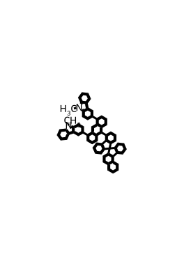 Cn1c2ccccc2c2cc(-c3cccc4c(-c5cccc6c5-c5ccccc5C65c6ccccc6-c6c5ccc5ccccc65)c5cccc(-c6ccc7c(c6)c6ccccc6n7C)c5cc34)ccc21